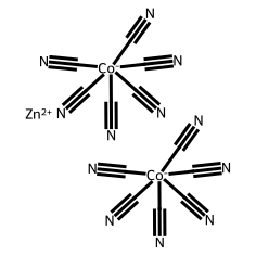 N#[C][Co-]([C]#N)([C]#N)([C]#N)([C]#N)[C]#N.N#[C][Co-]([C]#N)([C]#N)([C]#N)([C]#N)[C]#N.[Zn+2]